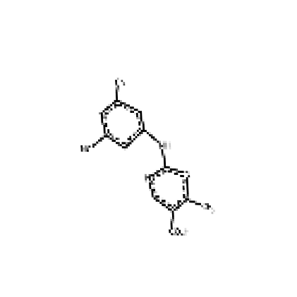 N#Cc1cc(C#N)cc(Nc2ncc(C(=O)O)c(C(F)(F)F)n2)c1